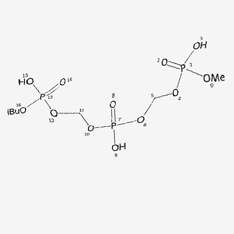 COP(=O)(O)OCOP(=O)(O)OCOP(=O)(O)OCC(C)C